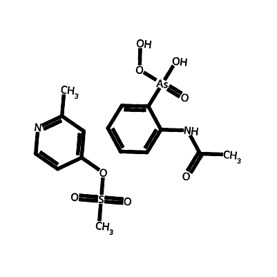 CC(=O)Nc1ccccc1[As](=O)(O)OO.Cc1cc(OS(C)(=O)=O)ccn1